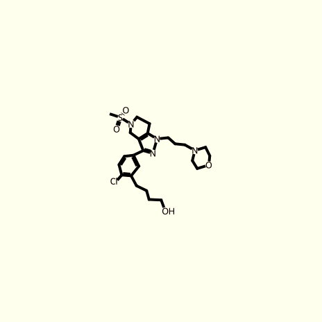 CS(=O)(=O)N1CCc2c(c(-c3ccc(Cl)c(CCCCO)c3)nn2CCCN2CCOCC2)C1